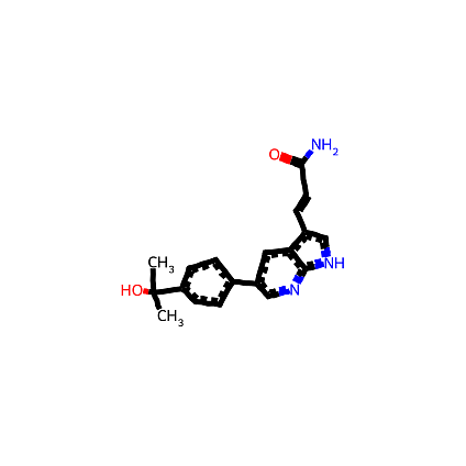 CC(C)(O)c1ccc(-c2cnc3[nH]cc(C=CC(N)=O)c3c2)cc1